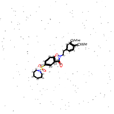 COc1ccc(CCn2oc3ccc(S(=O)(=O)N4CCCCCC4)cc3c2=O)cc1OC